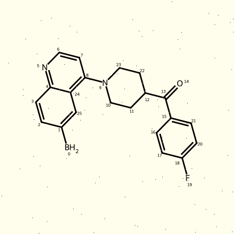 Bc1ccc2nccc(N3CCC(C(=O)c4ccc(F)cc4)CC3)c2c1